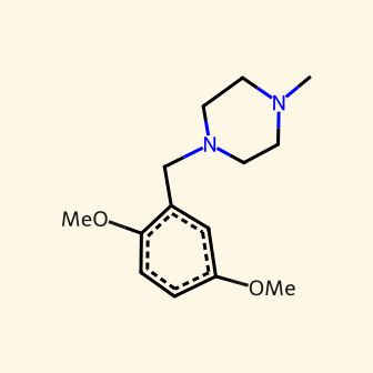 COc1ccc(OC)c(CN2CCN(C)CC2)c1